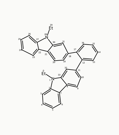 CCn1c2ccccc2c2ccc(-c3ccccc3-c3ccc4c5ccccc5n(CC)c4c3)cc21